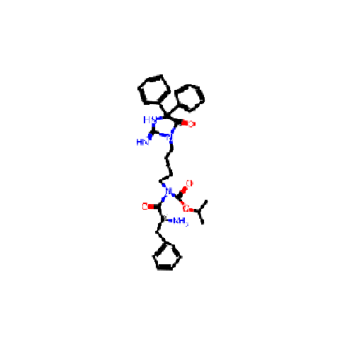 CC(C)OC(=O)N(CCCCN1C(=N)NC(c2ccccc2)(c2ccccc2)C1=O)C(=O)[C@@H](N)Cc1ccccc1